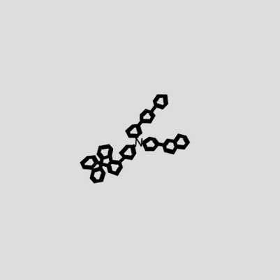 c1ccc(-c2ccc(-c3cccc(N(c4ccc(-c5ccc6ccccc6c5)cc4)c4ccc(-c5cccc6c5-c5ccccc5C6(c5ccccc5)c5ccccc5)cc4)c3)cc2)cc1